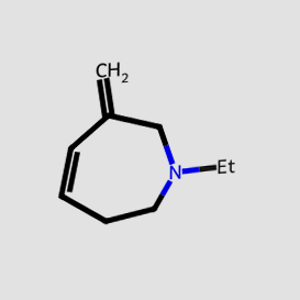 C=C1C=CCCN(CC)C1